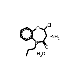 CCCN1C(=O)[C@@H](N)C(Cl)Oc2ccccc21.O